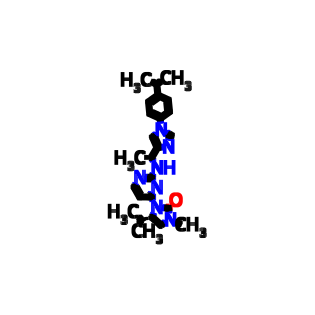 CC(C)c1ccc(-n2cnc([C@H](C)Nc3nccc(N4C(=O)N(C)C[C@@H]4C(C)C)n3)c2)cc1